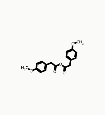 COc1ccc(CC(=O)OC(=O)Cc2ccc(OC)cc2)cc1